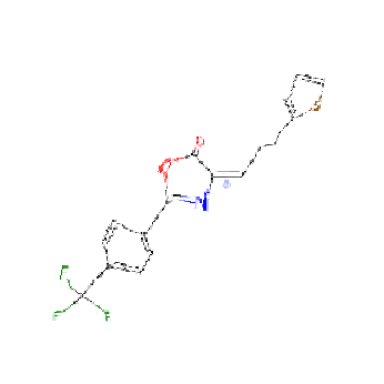 O=C1OC(c2ccc(C(F)(F)F)cc2)=N/C1=C/CCc1cccs1